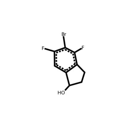 OC1CCc2c1cc(F)c(Br)c2F